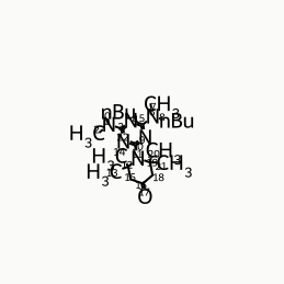 CCCCN(C)c1nc(N(C)CCCC)nc(N2C(C)(C)CC(=O)CC2(C)C)n1